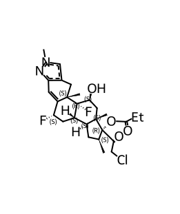 CCC(=O)O[C@]1(C(=O)CCl)[C@@H](C)C[C@H]2[C@@H]3C[C@H](F)C4=Cc5nn(C)cc5C[C@]4(C)[C@@]3(F)[C@@H](O)C[C@@]21C